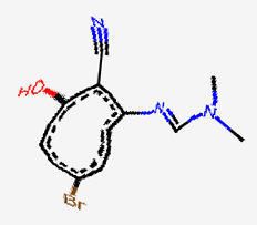 CN(C)/C=N/c1cc(Br)cc(O)c1C#N